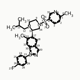 Cc1ccc(S(=O)(=O)N2CCN(CC(C)C)[C@H](c3cc4cnn(-c5ccc(F)cc5)c4cc3C)C2)cn1